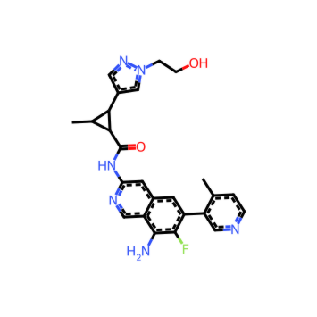 Cc1ccncc1-c1cc2cc(NC(=O)C3C(C)C3c3cnn(CCO)c3)ncc2c(N)c1F